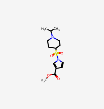 COC(=O)c1ccn(S(=O)(=O)C2CCN(C(C)C)CC2)c1